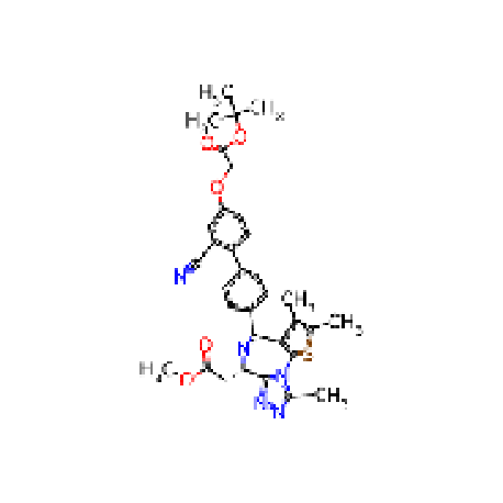 COC(=O)C[C@@H]1N=C(c2ccc(-c3ccc(OCC(=O)OC(C)(C)C)cc3C#N)cc2)c2c(sc(C)c2C)-n2c(C)nnc21